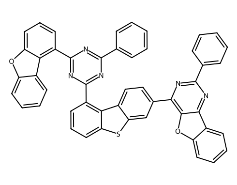 c1ccc(-c2nc(-c3cccc4oc5ccccc5c34)nc(-c3cccc4sc5cc(-c6nc(-c7ccccc7)nc7c6oc6ccccc67)ccc5c34)n2)cc1